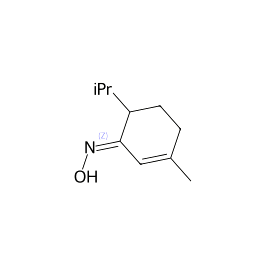 CC1=C/C(=N\O)C(C(C)C)CC1